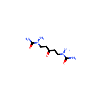 NC(=O)N(N)CCC(=O)CCN(N)C(N)=O